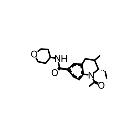 CC[C@H]1C(C)Cc2cc(C(=O)NC3CCOCC3)ccc2N1C(C)=O